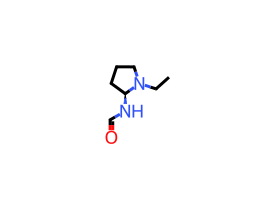 CCN1CCC[C@@H]1NC=O